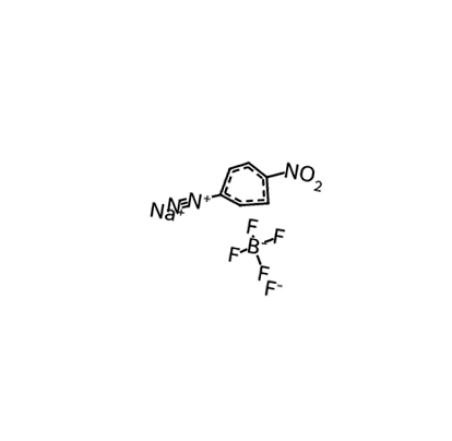 F[B-](F)(F)F.N#[N+]c1ccc([N+](=O)[O-])cc1.[F-].[Na+]